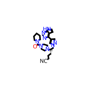 N#CCCC[C@@H](Cn1cc(-c2ncnc3[nH]ccc23)cn1)N1CCN(C(=O)N2CCCCC2)CC1